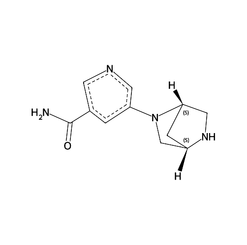 NC(=O)c1cncc(N2C[C@@H]3C[C@H]2CN3)c1